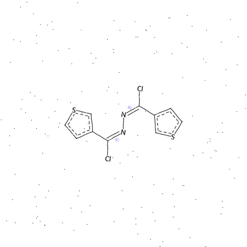 Cl/C(=N/N=C(/Cl)c1ccsc1)c1ccsc1